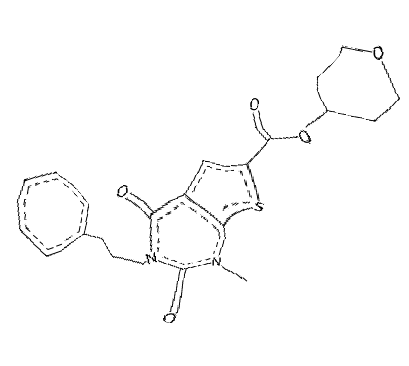 Cn1c(=O)n(Cc2ccccc2)c(=O)c2cc(C(=O)OC3CCOCC3)sc21